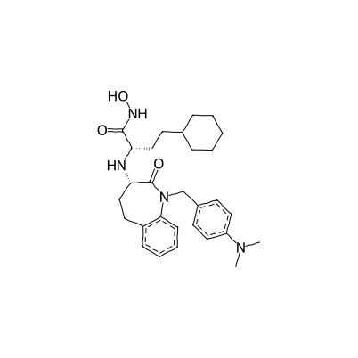 CN(C)c1ccc(CN2C(=O)[C@@H](N[C@@H](CCC3CCCCC3)C(=O)NO)CCc3ccccc32)cc1